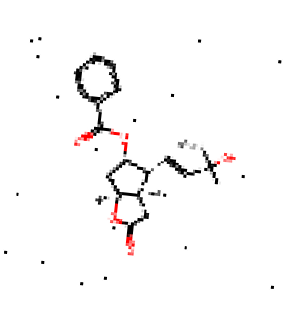 CCCCCC(C)(O)C=C[C@@H]1[C@H]2CC(=O)O[C@H]2C[C@H]1OC(=O)c1ccccc1